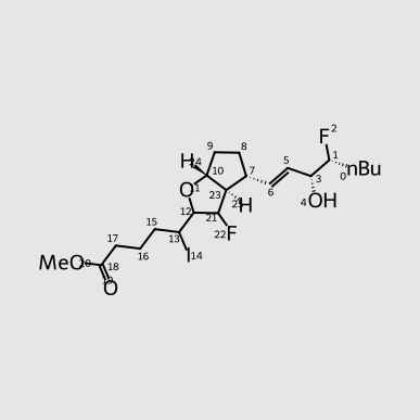 CCCC[C@@H](F)[C@H](O)/C=C/[C@H]1CC[C@H]2OC(C(I)CCCC(=O)OC)C(F)[C@H]12